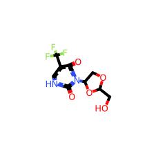 O=c1[nH]cc(C(F)(F)F)c(=O)n1C1COC(CO)O1